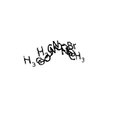 COc1ccc(CN(C)c2cc3nc(OC)c(Br)cc3cn2)cc1